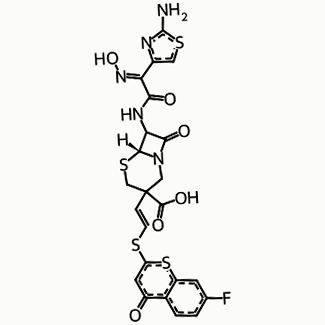 Nc1nc(C(=NO)C(=O)NC2C(=O)N3CC(C=CSc4cc(=O)c5ccc(F)cc5s4)(C(=O)O)CS[C@H]23)cs1